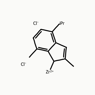 CC1=Cc2c(C(C)C)ccc(C)c2[CH]1[Zr+2].[Cl-].[Cl-]